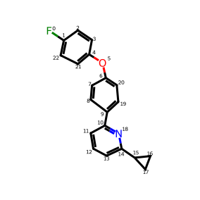 Fc1ccc(Oc2ccc(-c3cccc(C4CC4)n3)cc2)cc1